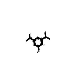 [Li][c]1cc(C(C)C)cc(C(C)C)c1